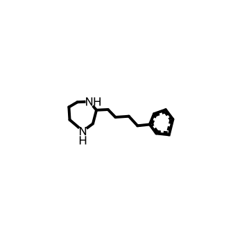 c1ccc(CCCCC2CNCCCN2)cc1